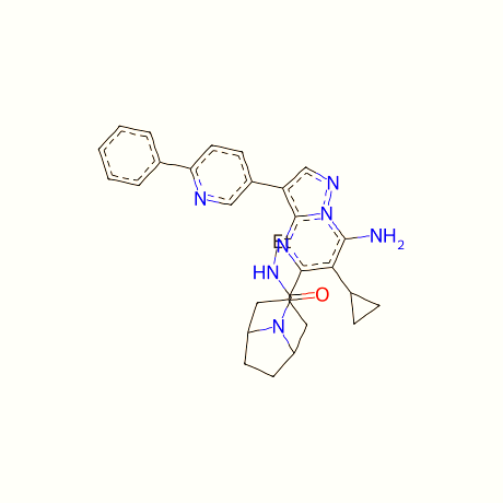 CCNC(=O)N1C2CCC1CC(c1nc3c(-c4ccc(-c5ccccc5)nc4)cnn3c(N)c1C1CC1)C2